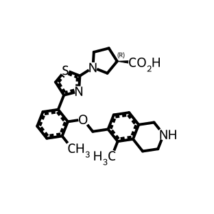 Cc1cccc(-c2csc(N3CC[C@@H](C(=O)O)C3)n2)c1OCc1ccc2c(c1C)CCNC2